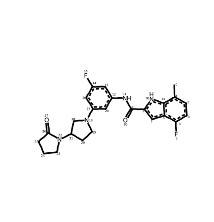 Cc1ccc(F)c2cc(C(=O)Nc3cc(F)cc(N4CCC(N5CCCC5=O)C4)c3)[nH]c12